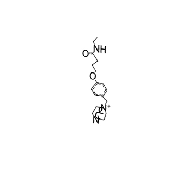 CCNC(=O)CCCOc1ccc(C[N+]23CCN(CC2)CC3)cc1